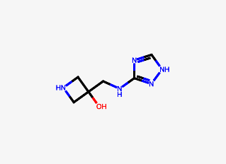 OC1(CNc2nc[nH]n2)CNC1